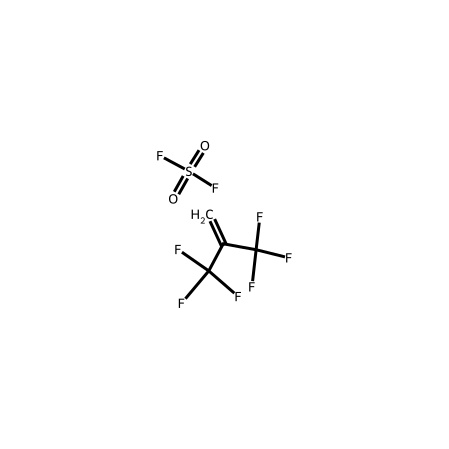 C=C(C(F)(F)F)C(F)(F)F.O=S(=O)(F)F